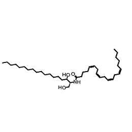 CCCCC/C=C\C/C=C\C/C=C\C/C=C\CCCC(=O)N[C@@H](CO)[C@H](O)CCCCCCCCCCCCCCC